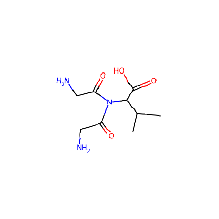 CC(C)C(C(=O)O)N(C(=O)CN)C(=O)CN